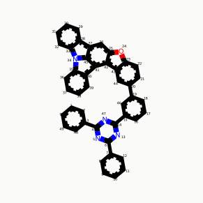 c1ccc(-c2nc(-c3ccccc3)nc(-c3cccc(-c4ccc5oc6cc7c8ccccc8n8c9ccccc9c(c6c5c4)c78)c3)n2)cc1